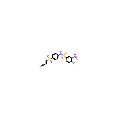 N#CC=CS(=O)(=O)c1ccc(NS(=O)(=O)c2ccc(Cl)c([N+](=O)[O-])c2)cc1